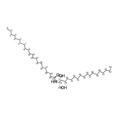 CCCCCCCCCCCCCCCCCCCCCC(=O)N[C@@H](CO)[C@H](O)CCCCCCCCCCCCCCCC